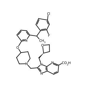 CC(c1cccc(OC2CCN(Cc3nc4ccc(C(=O)O)nc4n3C[C@@H]3CCO3)CC2)n1)c1ccc(Cl)cc1F